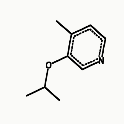 Cc1ccncc1OC(C)C